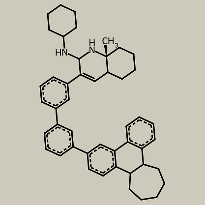 C[C@@]12CCCCC1C=C(c1cccc(-c3cccc(-c4ccc5c(c4)-c4ccccc4C4CCCCCC54)c3)c1)C(NC1CCCCC1)N2